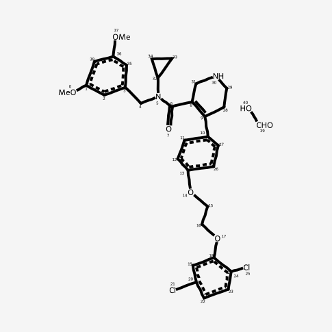 COc1cc(CN(C(=O)C2=C(c3ccc(OCCOc4cc(Cl)ccc4Cl)cc3)CCNC2)C2CC2)cc(OC)c1.O=CO